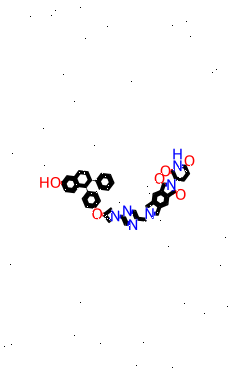 O=C1CCC(N2C(=O)c3cc4c(cc3C2=O)CN(Cc2cnc(N3CC(Oc5ccc([C@@H]6c7ccc(O)cc7CC[C@@H]6c6ccccc6)cc5)C3)cn2)C4)C(=O)N1